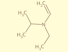 C=CN(CC)C(C)C